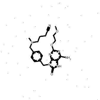 COCCOc1nc(N)c2[nH]c(=O)n(Cc3ccc(CN(C)CCCC#N)cc3)c2n1